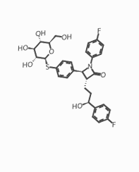 O=C1[C@H](CC[C@H](O)c2ccc(F)cc2)[C@@H](c2ccc(S[C@@H]3O[C@H](CO)[C@@H](O)[C@H](O)[C@H]3O)cc2)N1c1ccc(F)cc1